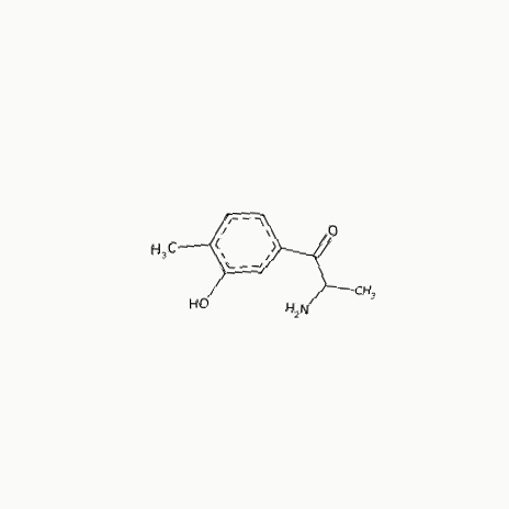 Cc1ccc(C(=O)C(C)N)cc1O